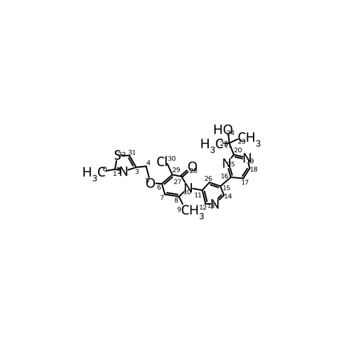 Cc1nc(COc2cc(C)n(-c3cncc(-c4ccnc(C(C)(C)O)n4)c3)c(=O)c2Cl)cs1